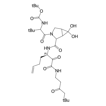 C=CCC[C@@H](NC(=O)C1C2C(CN1C(=O)C(NC(=O)OC(C)(C)C)C(C)(C)C)C2(O)O)C(=O)C(=O)NCCC(=O)CC(C)(C)C